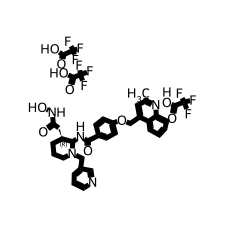 Cc1cc(COc2ccc(C(=O)NC3[C@@H](CC(=O)NO)CCCN3Cc3cccnc3)cc2)c2ccccc2n1.O=C(O)C(F)(F)F.O=C(O)C(F)(F)F.O=C(O)C(F)(F)F